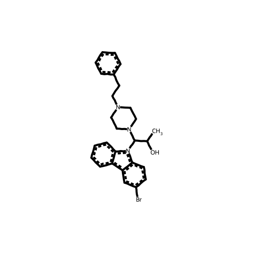 CC(O)C(N1CCN(CCc2ccccc2)CC1)n1c2ccccc2c2cc(Br)ccc21